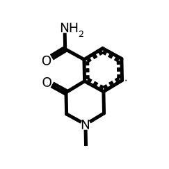 CN1CC(=O)c2c([c]ccc2C(N)=O)C1